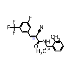 Cc1ccccc1[C@H](C)NC(=O)/C(C#N)=C/c1cc(F)cc(C(F)(F)F)c1